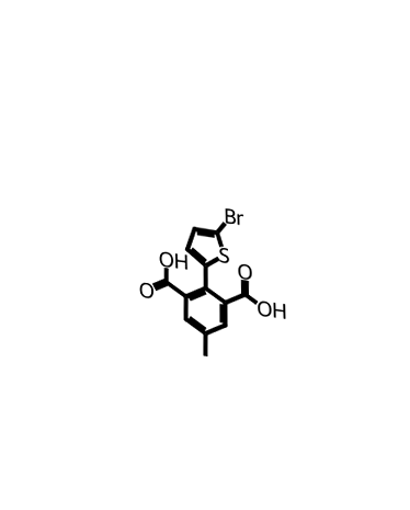 Cc1cc(C(=O)O)c(-c2ccc(Br)s2)c(C(=O)O)c1